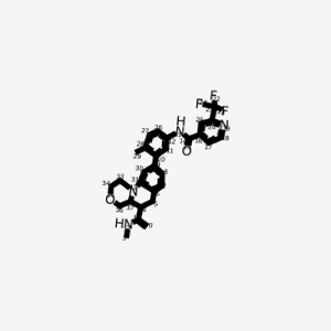 C=C(NC)C1Cc2ccc(-c3cc(NC(=O)c4ccnc(C(F)(F)F)c4)ccc3C)cc2N2CCOCC12